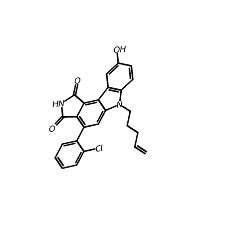 C=CCCCn1c2ccc(O)cc2c2c3c(c(-c4ccccc4Cl)cc21)C(=O)NC3=O